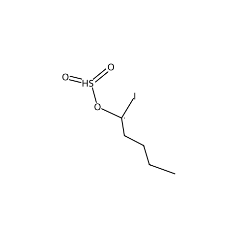 CCCC[C](I)O[SH](=O)=O